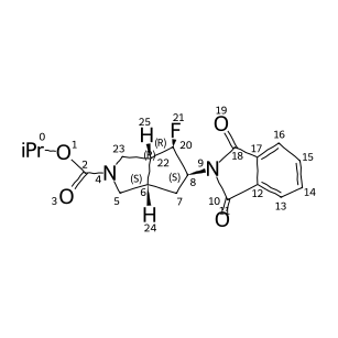 CC(C)OC(=O)N1C[C@H]2C[C@H](N3C(=O)c4ccccc4C3=O)[C@H](F)[C@H]2C1